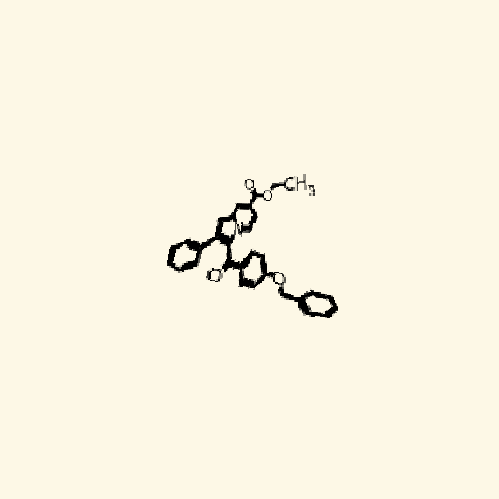 CCOC(=O)c1ccn2c(C(=O)c3ccc(OCc4ccccc4)cc3)c(-c3ccccc3)cc2c1